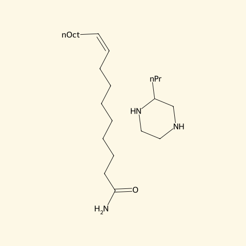 CCCC1CNCCN1.CCCCCCCC/C=C\CCCCCCCC(N)=O